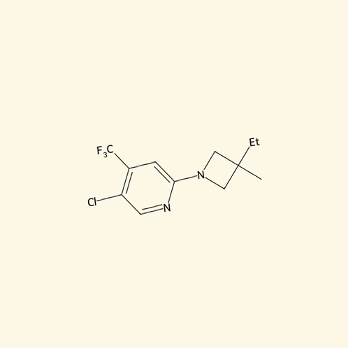 CCC1(C)CN(c2cc(C(F)(F)F)c(Cl)cn2)C1